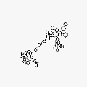 COc1ccc(C(OC[C@H]2O[C@@H](n3cc(C)c(=O)[nH]c3=O)C[C@@H]2OP(=O)(OCCOCCOCCOCCO[C@@H]2O[C@H](COC(C)=O)[C@H](OC(C)=O)[C@H](OC(C)=O)[C@H]2NC(C)=O)N(C(C)C)C(C)C)(c2ccccc2)c2ccc(OC)cc2)cc1